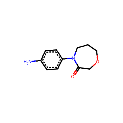 Nc1ccc(N2CCCOCC2=O)cc1